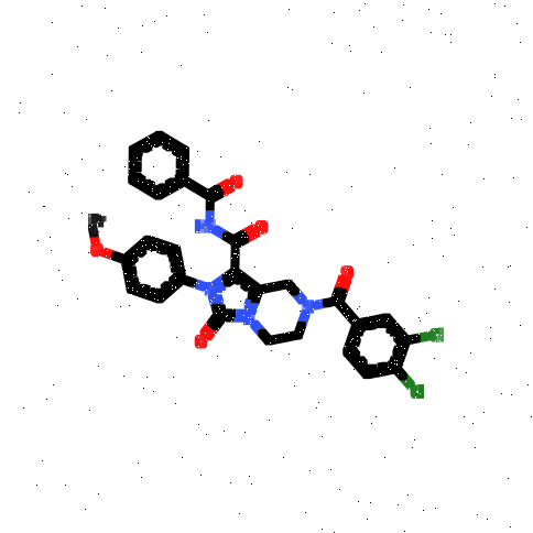 CC(C)Oc1ccc(-n2c(C(=O)NC(=O)c3ccccc3)c3n(c2=O)CCN(C(=O)c2ccc(Cl)c(Cl)c2)C3)cc1